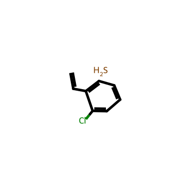 C=Cc1ccccc1Cl.S